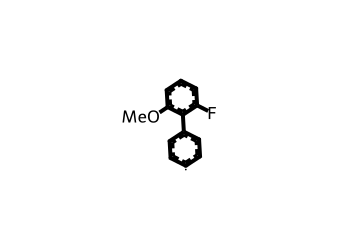 COc1cccc(F)c1-c1cc[c]cc1